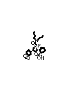 CCCCN(CCCC)C(=O)CN1C[C@H](c2ccc3c(c2)OCO3)[C@H](OC(=O)O)[C@H]1c1ccccc1F